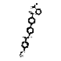 CCOc1ccc(C(=O)Nc2ccc(-c3ccc(C(=O)[C@H]4CCC[C@@H]4C(=O)O)cc3)cc2)cc1